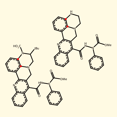 COC(=O)N(NC(=O)c1c(CN2CCN(C(=O)O)C(C(C)(C)C)C2)c(-c2ccccc2)nc2ccccc12)c1ccccc1.COC(=O)N(NC(=O)c1c(CN2CCNCC2)c(-c2ccccc2)nc2ccccc12)c1ccccc1